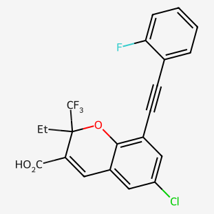 CCC1(C(F)(F)F)Oc2c(C#Cc3ccccc3F)cc(Cl)cc2C=C1C(=O)O